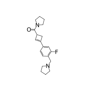 O=C(C1C=C(c2ccc(CN3CCCC3)c(F)c2)C1)N1CCCC1